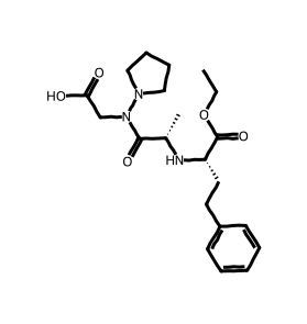 CCOC(=O)[C@H](CCc1ccccc1)N[C@@H](C)C(=O)N(CC(=O)O)N1CCCC1